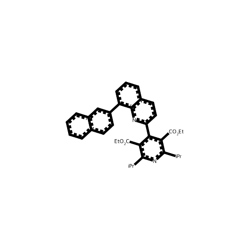 CCOC(=O)c1c(C(C)C)nc(C(C)C)c(C(=O)OCC)c1-c1ccc2cccc(-c3ccc4ccccc4c3)c2n1